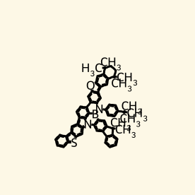 CC(C)(C)c1ccc(N2B3c4cc5c(cc4-n4c6cc7sc8ccccc8c7cc6c6ccc(c3c64)-c3cc4oc6cc7c(cc6c4cc32)C(C)(C)CCC7(C)C)-c2ccccc2C5(C)C)cc1